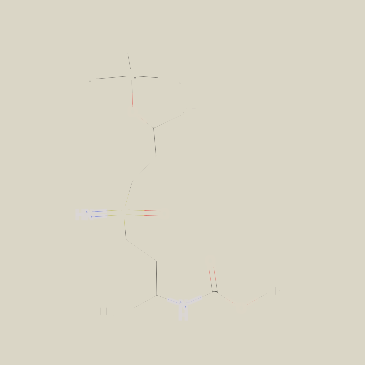 CC(C)(C)OC(=O)NC(CCS(=N)(=O)CCC(O[Si](C)(C)C(C)(C)C)C(F)(F)F)C(=O)O